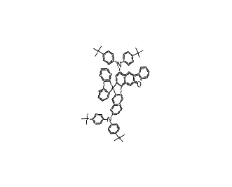 CC(C)(C)c1ccc(N(c2ccc(C(C)(C)C)cc2)c2ccc3cc4c(cc3c2)C2(c3ccccc3-c3ccccc32)c2cc(N(c3ccc(C(C)(C)C)cc3)c3ccc(C(C)(C)C)cc3)c3cc5c(cc3c2-4)oc2ccccc25)cc1